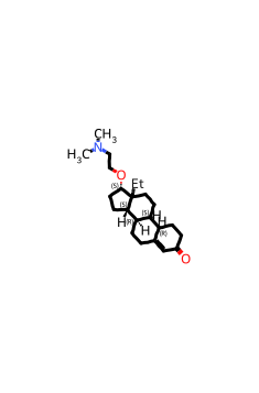 CCC12CC[C@H]3[C@@H](CCC4=CC(=O)CC[C@@H]43)[C@@H]1CC[C@@H]2OCCN(C)C